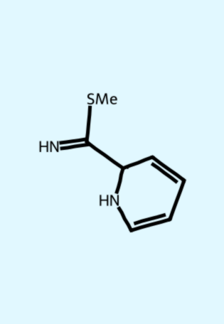 CSC(=N)[C]1C=CC=CN1